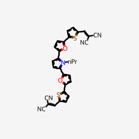 CCCn1c(-c2ccc(-c3ccc(C=C(C#N)C#N)s3)o2)ccc1-c1ccc(-c2ccc(C=C(C#N)C#N)s2)o1